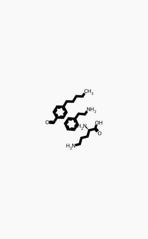 CCCCCc1ccc(C=O)cc1.NCCC[C@H](N)C(=O)O.NCCc1ccccc1